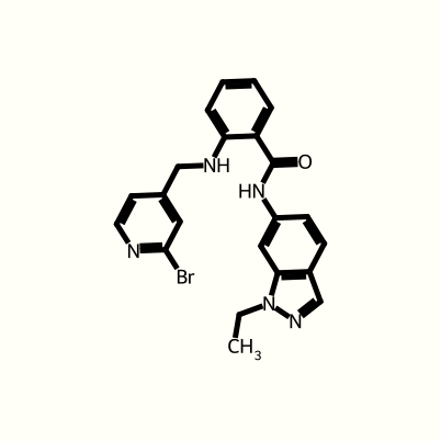 CCn1ncc2ccc(NC(=O)c3ccccc3NCc3ccnc(Br)c3)cc21